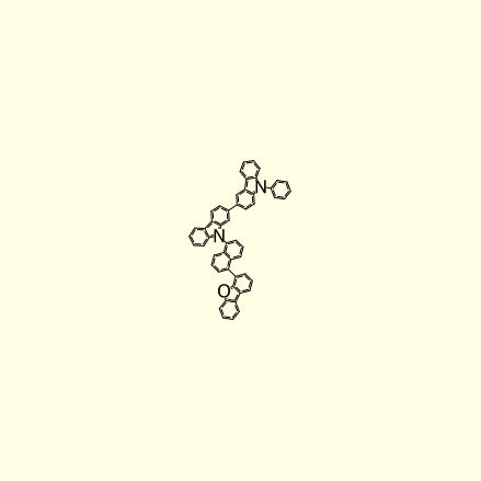 c1ccc(-n2c3ccccc3c3cc(-c4ccc5c6ccccc6n(-c6cccc7c(-c8cccc9c8oc8ccccc89)cccc67)c5c4)ccc32)cc1